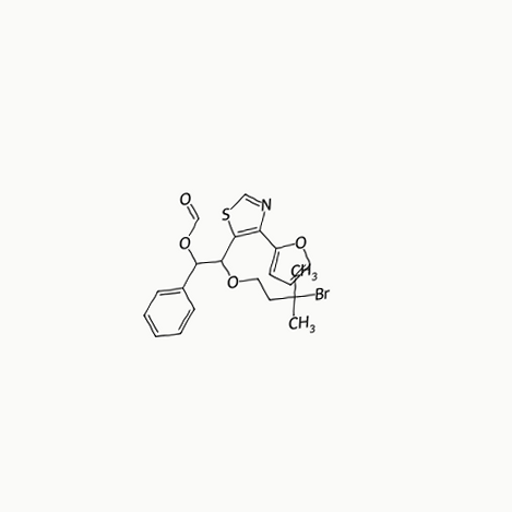 CC(C)(Br)CCOC(c1scnc1-c1ccco1)C(OC=O)c1ccccc1